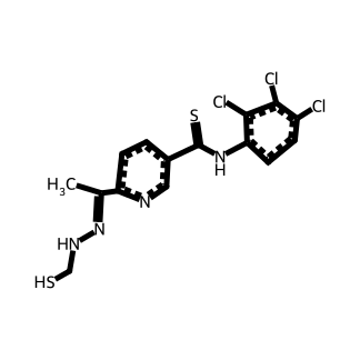 CC(=NNCS)c1ccc(C(=S)Nc2ccc(Cl)c(Cl)c2Cl)cn1